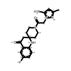 Cc1cc(N)n(CC(=O)N2CCC3(CC2)CC(=O)c2cc(F)ccc2N3)n1